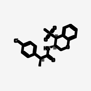 C[C@H](C(=O)N[C@H]1COc2ccccc2[C@@H]1S(C)(=O)=O)c1ccc(Cl)cc1